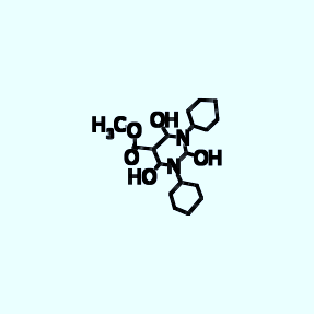 COC(=O)C1C(O)N(C2CCCCC2)C(O)N(C2CCCCC2)C1O